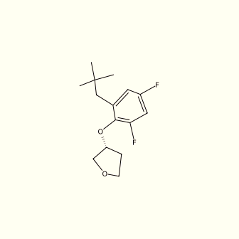 CC(C)(C)Cc1cc(F)cc(F)c1O[C@@H]1CCOC1